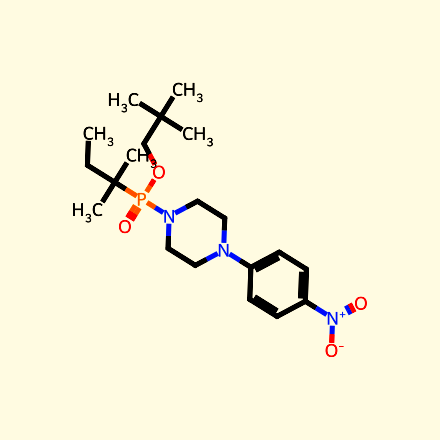 CCC(C)(C)P(=O)(OCC(C)(C)C)N1CCN(c2ccc([N+](=O)[O-])cc2)CC1